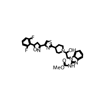 COC(=O)Nc1nc2ccccc2n1CC(O)N1CCC(c2nc(C3=NOC(c4c(F)cccc4F)C3)cs2)CC1